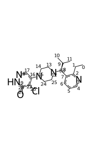 CCc1ncccc1[C@H](C(C)C)N1CCN(c2cn[nH]c(=O)c2Cl)CC1